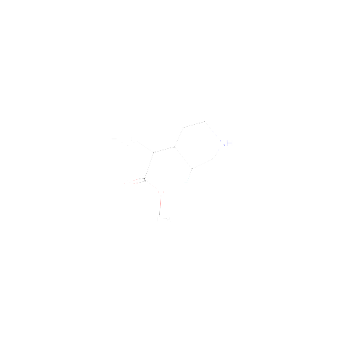 CCCCOC(=O)C(C(=O)O)C1CCNCC1F